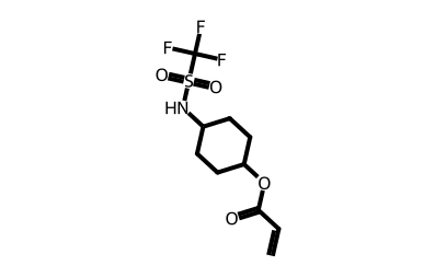 C=CC(=O)OC1CCC(NS(=O)(=O)C(F)(F)F)CC1